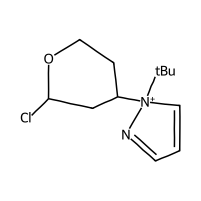 CC(C)(C)[N+]1(C2CCOC(Cl)C2)C=CC=N1